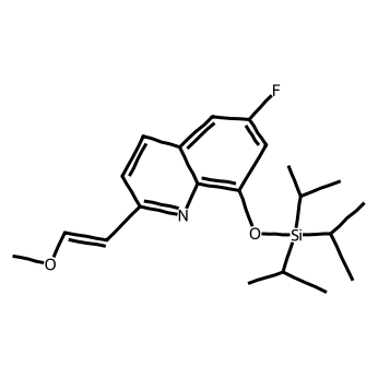 CO/C=C/c1ccc2cc(F)cc(O[Si](C(C)C)(C(C)C)C(C)C)c2n1